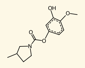 COc1ccc(OC(=O)N2CCC(C)C2)cc1O